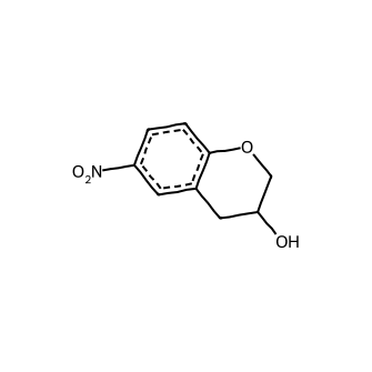 O=[N+]([O-])c1ccc2c(c1)CC(O)CO2